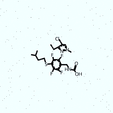 CC(C)CCSc1c(F)c(F)c(CNC(=O)O)c(F)c1F.CCc1nn(C)cc1Cl